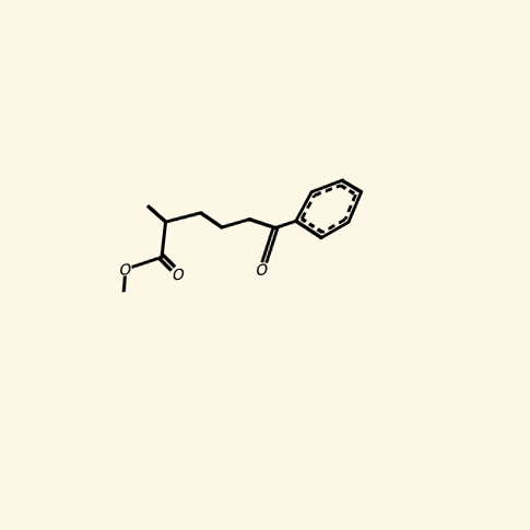 COC(=O)C(C)CCCC(=O)c1ccccc1